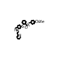 COc1ccc(CN(C)C(=O)c2ccccc2Sc2ccc3cnn(C=Cc4ccccn4)c3c2)cc1